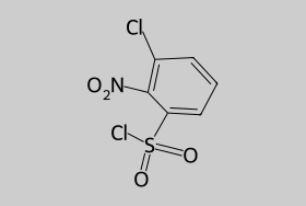 O=[N+]([O-])c1c(Cl)cccc1S(=O)(=O)Cl